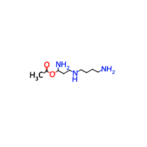 CC(=O)OC(N)CCNCCCCN